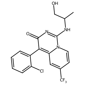 CC(CO)Nc1nc(=O)c(-c2ccccc2Cl)c2cc(C(F)(F)F)ccn12